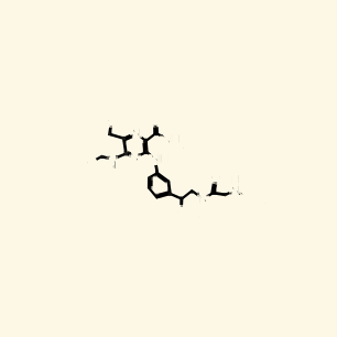 CCc1nc(C(N)=O)c(Nc2cccc(C(C)CNC(=O)CNC)c2)nc1N(C)CC